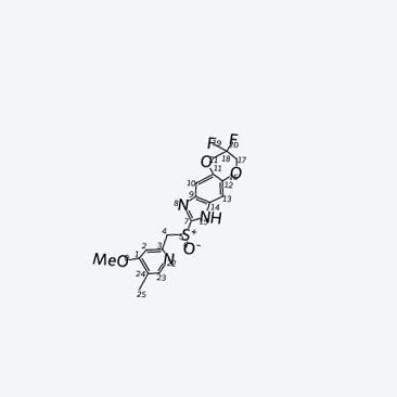 COc1cc(C[S+]([O-])c2nc3cc4c(cc3[nH]2)OCC(F)(F)O4)ncc1C